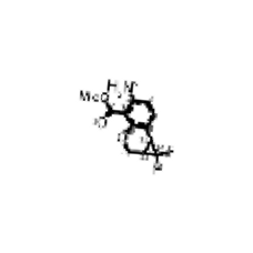 COC(=O)c1c(N)ccc2c1OCC1C2C1(F)F